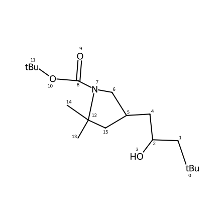 CC(C)(C)CC(O)CC1CN(C(=O)OC(C)(C)C)C(C)(C)C1